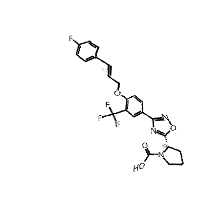 O=C(O)N1CCC[C@H]1c1nc(-c2ccc(OC/C=C/c3ccc(F)cc3)c(C(F)(F)F)c2)no1